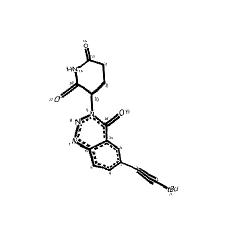 CC(C)(C)C#Cc1ccc2nnn(C3CCC(=O)NC3=O)c(=O)c2c1